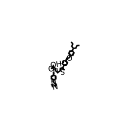 CCCC(CCC)c1ccc(OCc2ccc(-c3csc(CN(CC(=O)O)Cc4ccc(-n5ccnc5)cc4)c3)cc2)cc1